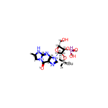 Cc1cn2c(=O)c3ncn([C@@H]4O[C@H](CO)[C@@H](O[PH](=O)O)[C@H]4O[Si](C)(C)C(C)(C)C)c3nc2[nH]1